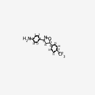 Nc1ccc(C2=NOC(c3ccc(C(F)(F)F)cc3)C2)cc1